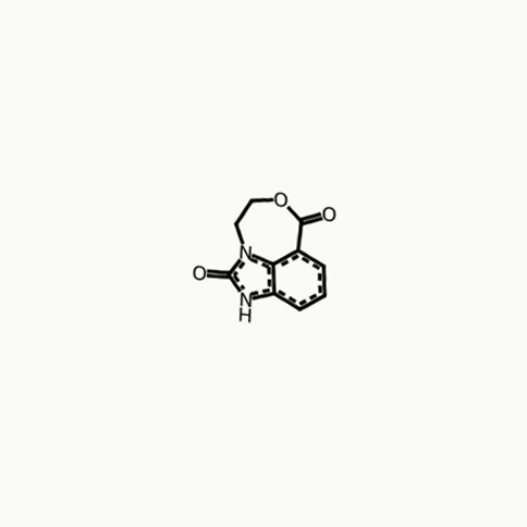 O=C1OCCn2c(=O)[nH]c3cccc1c32